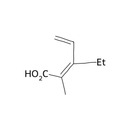 C=CC(CC)=C(C)C(=O)O